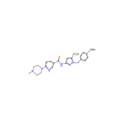 COc1ccc(Cn2nc(NC(=O)c3ccc(N4CCN(C)CC4)nc3)cc2C(=O)O)cc1